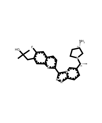 C[C@H](c1ccc2nnc(-c3ccc4cc(F)c(CC(C)(C)O)cc4n3)n2c1)N1CC[C@H](N)C1